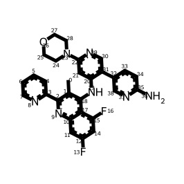 Cc1c(-c2ccccn2)nc2cc(F)cc(F)c2c1Nc1cc(N2CCOCC2)ncc1-c1ccc(N)nc1